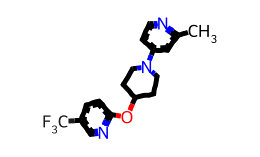 Cc1cc(N2CCC(Oc3ccc(C(F)(F)F)cn3)CC2)ccn1